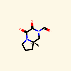 O=CN1C[C@@H]2CCCN2C(=O)C1=O